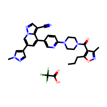 CCCc1onc(C)c1C(=O)N1CCN(c2ccc(-c3cc(-c4cnn(C)c4)cn4ncc(C#N)c34)cn2)CC1.O=C(O)C(F)(F)F